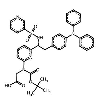 CC(C)(C)OC(=O)N(CC(=O)O)c1cccc(C(Cc2ccc(N(c3ccccc3)c3ccccc3)cc2)NS(=O)(=O)c2cccnc2)n1